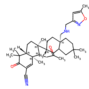 CC(=O)C[C@@H]1[C@@]2(C)C=C(C#N)C(=O)C(C)(C)[C@@H]2CC[C@@]1(C)[C@]1(C)CC[C@@]2(CNCc3cc(C)on3)CCC(C)(C)CC2C1